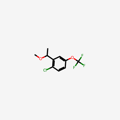 COC(C)c1cc(OC(F)(F)F)ccc1Cl